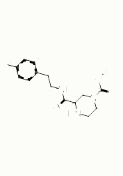 CC(C)(C)OC(=O)N1CCNC(C(=O)NCCc2ccc(F)cc2)C1